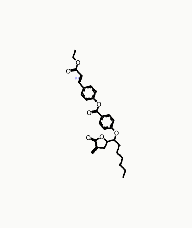 C=C1CC(C(CCCCCC)Oc2ccc(C(=O)Oc3ccc(/C=C/C(=O)OCC)cc3)cc2)OC1=O